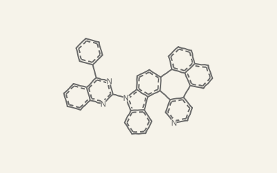 c1ccc(-c2nc(-n3c4ccccc4c4c5c(ccc43)-c3cccc4cccc(c34)-c3ccncc3-5)nc3ccccc23)cc1